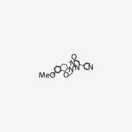 COc1ccc2c(c1)C1OCCN(c3nc(-c4ccncc4)cc(=O)n3C)C1CC2